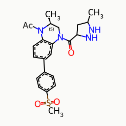 CC(=O)N1c2ccc(-c3ccc(S(C)(=O)=O)cc3)cc2N(C(=O)C2CC(C)NN2)C[C@@H]1C